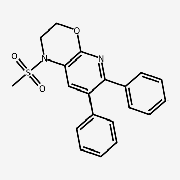 CS(=O)(=O)N1CCOc2nc(-c3cc[c]cc3)c(-c3ccccc3)cc21